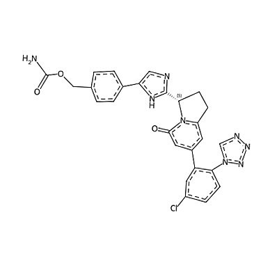 NC(=O)OCc1ccc(-c2cnc([C@@H]3CCc4cc(-c5cc(Cl)ccc5-n5cnnn5)cc(=O)n43)[nH]2)cc1